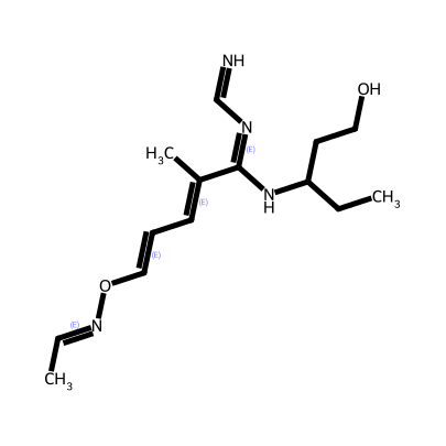 C/C=N/O/C=C/C=C(C)/C(=N\C=N)NC(CC)CCO